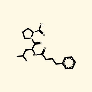 CC(C)CC(NC(=O)CCCc1ccccc1)C(=O)N1CCC[C@H]1C(N)=O